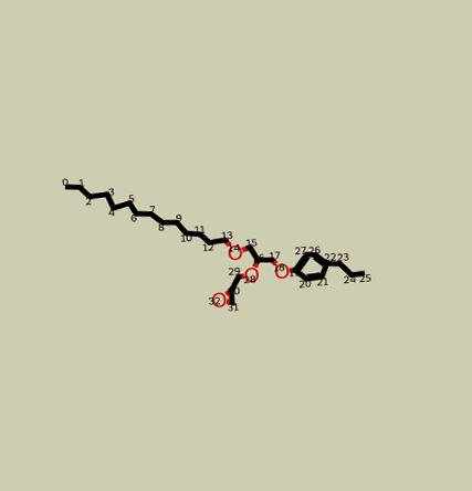 CCCCCCCCCCCCCCOCC(COc1ccc(CCC)cc1)OCC1CO1